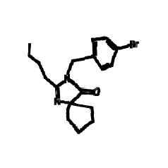 CCCCC1=NC2(CCCC2)C(=O)N1Cc1ccc(Br)cc1